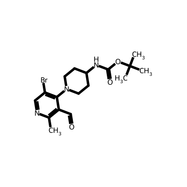 Cc1ncc(Br)c(N2CCC(NC(=O)OC(C)(C)C)CC2)c1C=O